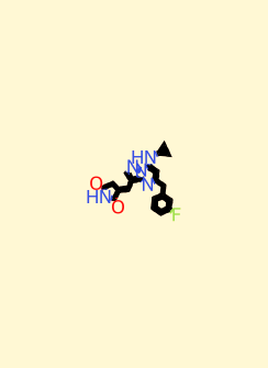 O=C1C/C(=C\c2cnn3c(NC4CC4)cc(Cc4cccc(F)c4)nc23)C(=O)N1